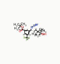 CC(C)(C)OC(=O)c1cc([C@@H](CCC(C)(C)[Si](C)(C)O)N=[N+]=[N-])cc(C(F)(F)F)c1